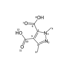 Cc1nn(C)c(C(=O)O)c1C(=O)O